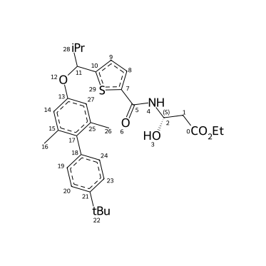 CCOC(=O)C[C@H](O)NC(=O)c1ccc(C(Oc2cc(C)c(-c3ccc(C(C)(C)C)cc3)c(C)c2)C(C)C)s1